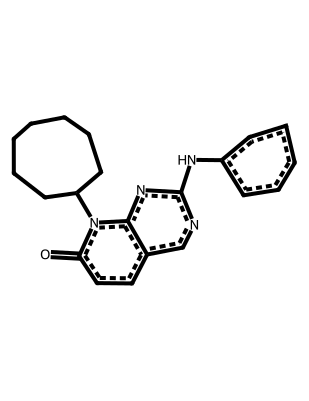 O=c1ccc2cnc(Nc3ccccc3)nc2n1C1CCCCCCC1